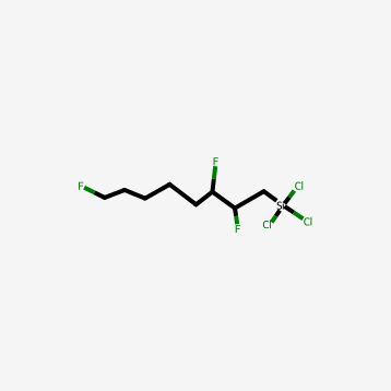 FCCCCCC(F)C(F)C[Si](Cl)(Cl)Cl